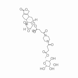 CC(C)[C@]12O[C@H]1[C@@H]1O[C@]13[C@]1(O[C@H]1CC1C4=C(CC[C@@]13C)C(=O)OC4)[C@@H]2OC(=O)CCC(=O)N1CCN(C(=O)CCC(=O)OC[C@H]2OC(O)[C@@H](O)[C@@H](O)[C@@H]2O)CC1